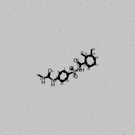 CNC(=O)Nc1ccc(S(=O)(=O)NC(=O)c2cccc(C)c2C)cc1